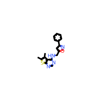 Cc1sc2ncnc(NCc3cc(-c4ccccc4)no3)c2c1C